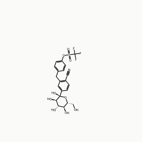 N#Cc1ccc([C@]2(O)O[C@H](CO)[C@@H](O)[C@H](O)[C@H]2O)cc1Cc1ccc(OS(=O)(=O)C(F)(F)F)cc1